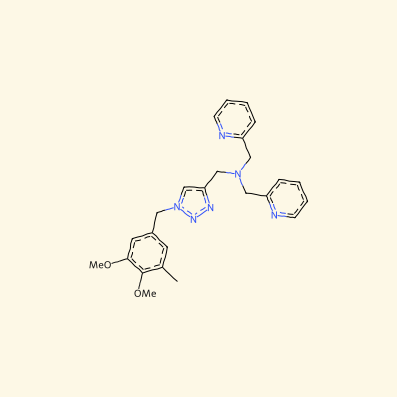 COc1cc(Cn2cc(CN(Cc3ccccn3)Cc3ccccn3)nn2)cc(C)c1OC